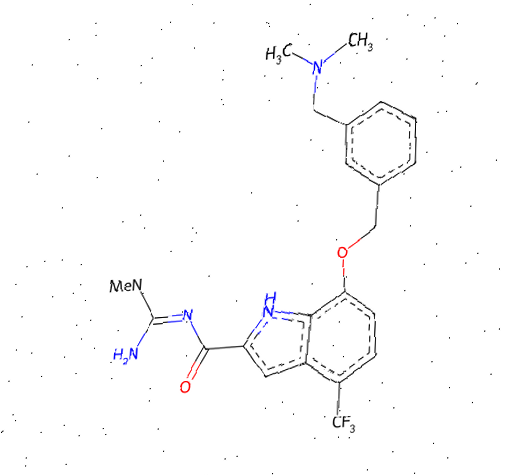 CNC(N)=NC(=O)c1cc2c(C(F)(F)F)ccc(OCc3cccc(CN(C)C)c3)c2[nH]1